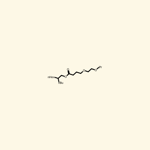 CCCCCCC(CCCC)COC(=O)CCCOCCOC(C)C